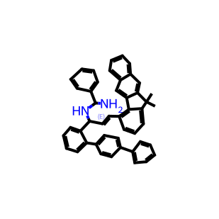 CC1(C)c2cc3ccccc3cc2-c2c(/C=C/C(NC(N)c3ccccc3)c3ccccc3-c3ccc(-c4ccccc4)cc3)cccc21